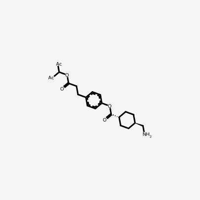 CC(=O)C(OC(=O)CCc1ccc(OC(=O)[C@H]2CC[C@H](CN)CC2)cc1)C(C)=O